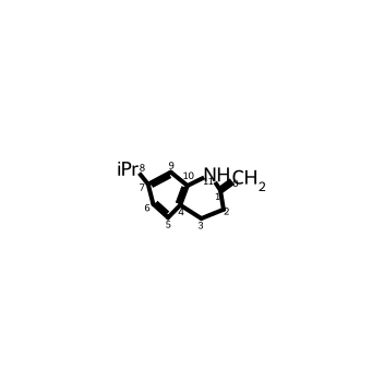 C=C1CCc2ccc(C(C)C)cc2N1